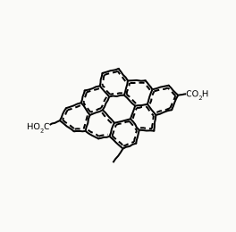 Cc1cc2cc3cc(C(=O)O)cc4cc5ccc6cc7cc(C(=O)O)cc8cc1c1c2c(c43)c5c6c1c78